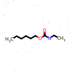 CCCCCCOC(=O)[N]CC